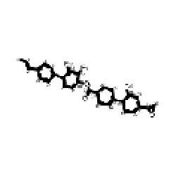 C/C=C/c1ccc(-c2ccc(OC(=O)c3ccc(-c4ccc(C5CO5)cc4F)cc3)c(F)c2F)cc1